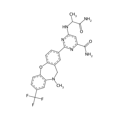 CC(Nc1cc(C(N)=O)nc(-c2ccc3c(c2)CN(C)c2cc(C(F)(F)F)ccc2O3)n1)C(N)=O